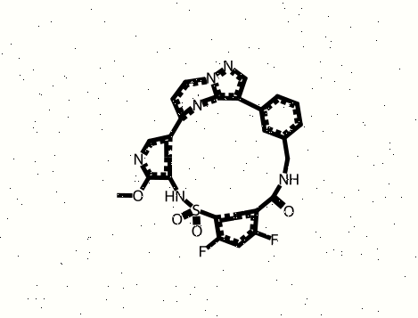 COc1ncc2cc1NS(=O)(=O)c1cc(c(F)cc1F)C(=O)NCc1cccc(c1)-c1cnn3ccc-2nc13